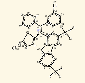 CC(C)(C)c1ccc2c(c1)-c1cc(C(C)(C)C)c[c](/[Zr+2]([C]3=CC=CC3)=[C](/c3ccccc3)c3cccc(Cl)c3)c1C2.[Cl-].[Cl-]